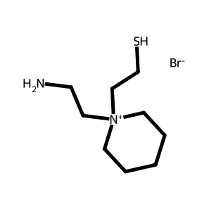 NCC[N+]1(CCS)CCCCC1.[Br-]